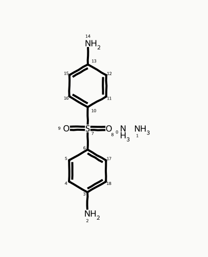 N.N.Nc1ccc(S(=O)(=O)c2ccc(N)cc2)cc1